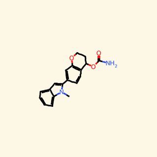 Cn1c(-c2ccc3c(c2)OCCC3OC(N)=O)cc2ccccc21